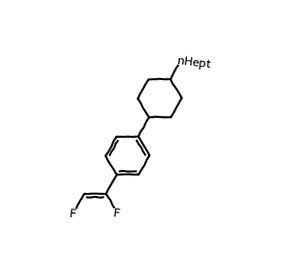 CCCCCCCC1CCC(c2ccc(C(F)=CF)cc2)CC1